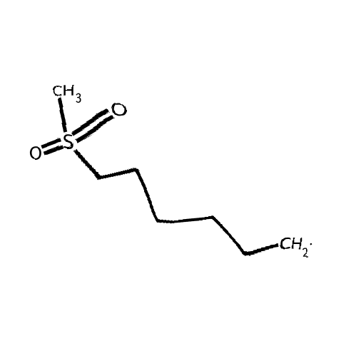 [CH2]CCCCCS(C)(=O)=O